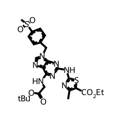 CCOC(=O)c1sc(Nc2nc(NCC(=O)OC(C)(C)C)c3ncn(Cc4ccc(S(C)(=O)=O)cc4)c3n2)nc1C